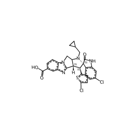 O=C(O)c1ccc2c(c1)nc1n2CC2[C@@H]1[C@H](c1ccc(Cl)s1)[C@]1(C(=O)Nc3cc(Cl)ccc31)N2CC1CC1